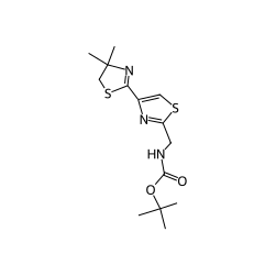 CC1(C)CSC(c2csc(CNC(=O)OC(C)(C)C)n2)=N1